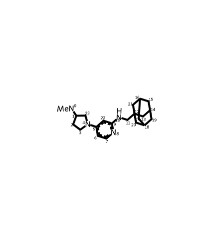 CNC1CCN(c2ccnc(NCC34CC5CC(CC(C5)C3)C4)c2)C1